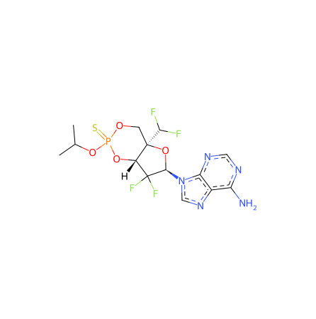 CC(C)OP1(=S)OC[C@@]2(C(F)F)O[C@@H](n3cnc4c(N)ncnc43)C(F)(F)[C@@H]2O1